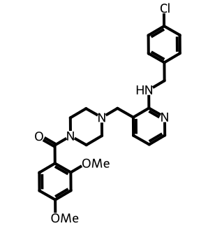 COc1ccc(C(=O)N2CCN(Cc3cccnc3NCc3ccc(Cl)cc3)CC2)c(OC)c1